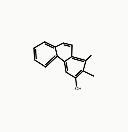 Cc1c(O)cc2c(ccc3ccccc32)c1C